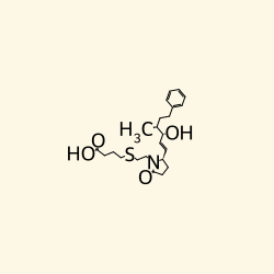 C[C@@H](CCc1ccccc1)[C@H](O)C=C[C@H]1CCC(=O)N1CCSCCCC(=O)O